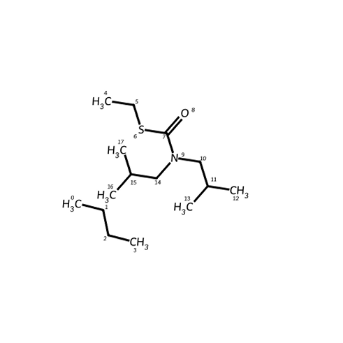 CCCC.CCSC(=O)N(CC(C)C)CC(C)C